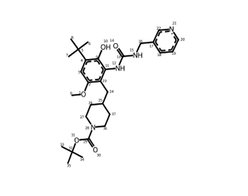 COc1cc(C(C)(C)C)c(O)c(NC(=O)NCc2cccnc2)c1CC1CCN(C(=O)OC(C)(C)C)CC1